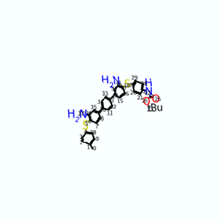 Cc1ccc(Sc2ccc(-c3ccc(-c4ccc(Sc5ccc(NC(=O)OC(C)(C)C)cc5)c(N)c4)cc3)cc2N)cc1